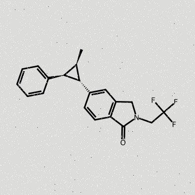 C[C@@H]1[C@H](c2ccccc2)[C@H]1c1ccc2c(c1)CN(CC(F)(F)F)C2=O